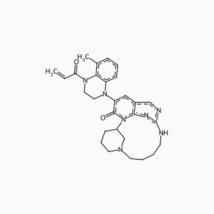 C=CC(=O)N1CCN(c2cc3cnc4nc3n(c2=O)C2CCCN(CCCCN4)C2)c2cccc(C)c21